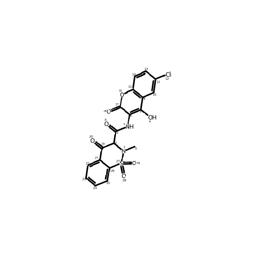 CN1C(C(=O)Nc2c(O)c3cc(Cl)ccc3oc2=O)C(=O)c2ccccc2S1(=O)=O